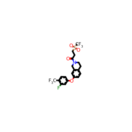 O=C(CCS(=O)(=O)C(F)(F)F)N1CCc2ccc(Oc3ccc(C(F)(F)F)c(F)c3)cc2C1